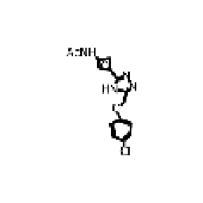 CC(=O)NC12CC(c3nnc(COc4ccc(Cl)cc4)[nH]3)(C1)C2